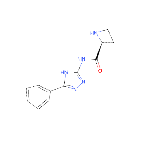 O=C(Nc1nnc(-c2ccccc2)[nH]1)[C@@H]1CCN1